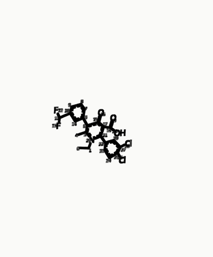 CCn1c(C)c(-c2cccc(C(F)F)c2)c(=O)c(C(=O)O)c1-c1ccc(Cl)c(Cl)c1